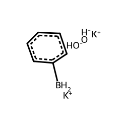 Bc1ccccc1.[K+].[K+].[OH-].[OH-]